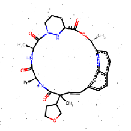 CC(C)[C@@H]1NC(=O)C(C)(C2CCOC2)/C=C/c2ccc3ccc(nc3c2)[C@@H](C)OC(=O)[C@@H]2CCCN(N2)C(=O)[C@H](C)NC1=O